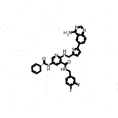 Nc1ncnc2ccc(-c3ccc(CNc4ncc(NC(=O)[C@H]5C=CC=CC5)cc4C(=O)NCc4ccc(F)c(F)c4)s3)cc12